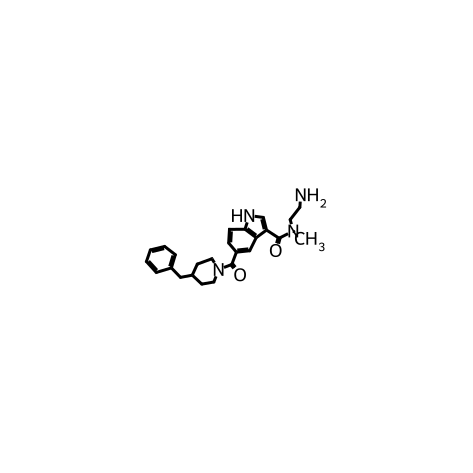 CN(CCN)C(=O)c1c[nH]c2ccc(C(=O)N3CCC(Cc4ccccc4)CC3)cc12